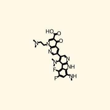 CNc1cc(F)c(F)c2c1[nH]c1ncc(-c3cnc4c(c3)c(=O)c(C(=O)O)cn4CCN(C)C)c(N(C)C)c12